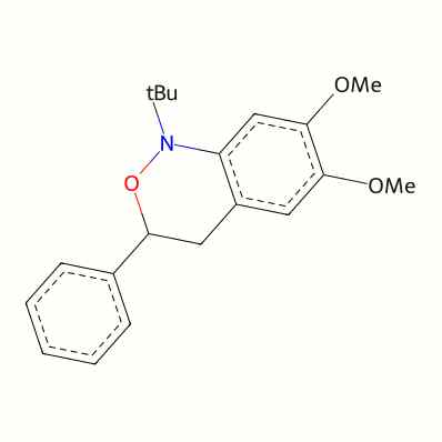 COc1cc2c(cc1OC)N(C(C)(C)C)OC(c1ccccc1)C2